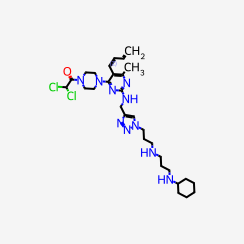 C=C/C=C\c1c(C)nc(NCc2cn(CCCNCCCNC3CCCCC3)nn2)nc1N1CCN(C(=O)C(Cl)Cl)CC1